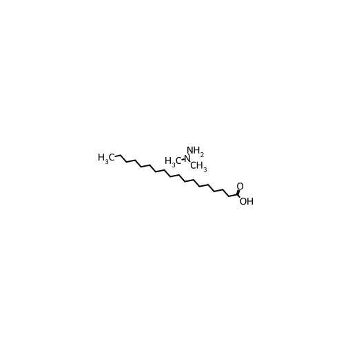 CCCCCCCCCCCCCCCCCC(=O)O.CN(C)N